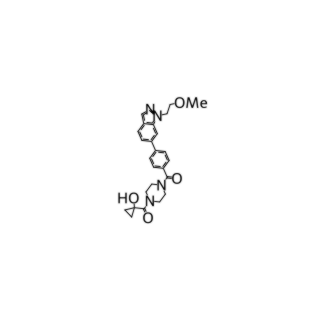 COCCn1ncc2ccc(-c3ccc(C(=O)N4CCN(C(=O)C5(O)CC5)CC4)cc3)cc21